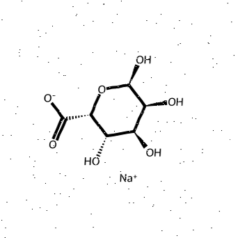 O=C([O-])[C@@H]1O[C@@H](O)[C@@H](O)[C@@H](O)[C@@H]1O.[Na+]